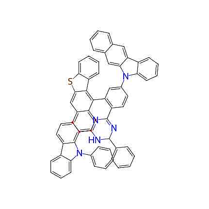 c1ccc(C2N=C(c3ccc(-n4c5ccccc5c5cc6ccccc6cc54)cc3-c3c4ccccc4cc4sc5ccccc5c34)N=C(c3cccc4c5ccccc5n(-c5ccccc5)c34)N2)cc1